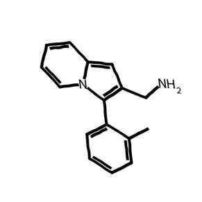 Cc1ccccc1-c1c(CN)cc2ccccn12